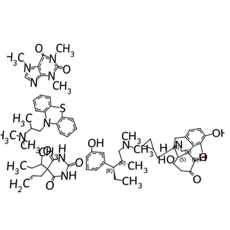 C=CCC1(C(C)CC)C(=O)NC(=O)NC1=O.CC(CN1c2ccccc2Sc2ccccc21)N(C)C.CC[C@@H](c1cccc(O)c1)[C@@H](C)CN(C)C.Cn1c(=O)c2c(ncn2C)n(C)c1=O.O=C1CC[C@@]2(O)[C@H]3Cc4ccc(O)c5c4[C@@]2(CCN3CC2CC2)[C@H]1O5